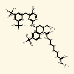 CC[C@@H]1C[C@H](Nc2ncc(Br)c(Cc3cc(C(F)(F)F)cc(C(F)(F)F)c3)n2)c2cc(C(F)(F)F)ccc2N1C(=O)OCCCCCCC(=O)OC